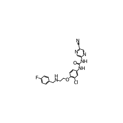 N#Cc1cnc(NC(=O)Nc2ccc(OCCNCc3ccc(F)cc3)c(Cl)c2)cn1